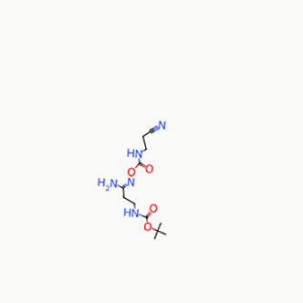 CC(C)(C)OC(=O)NCCC(N)=NOC(=O)NCCC#N